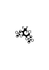 O=S1(=O)OC(Cl)C(C2OS(=O)(=O)OC2C(F)(F)F)O1